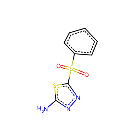 Nc1nnc(S(=O)(=O)c2ccccc2)s1